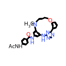 CC(=O)Nc1ccc(C(=O)Nc2cc3cc(c2)Nc2ncnc(n2)-c2cccc(c2)OCC/C=C/CN(C)C3)cc1